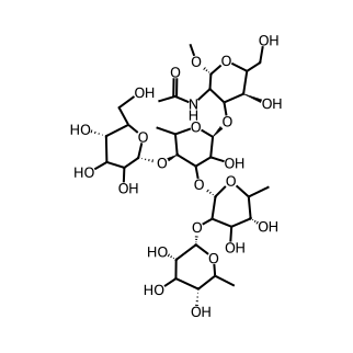 CO[C@@H]1OC(CO)[C@@H](O)C(O[C@@H]2OC(C)[C@H](O[C@H]3OC(CO)[C@@H](O)C(O)C3O)C(O[C@@H]3OC(C)[C@H](O)C(O)C3O[C@@H]3OC(C)[C@H](O)C(O)[C@@H]3O)C2O)C1NC(C)=O